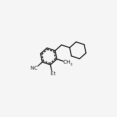 CCc1c(C#N)ccc(CC2CCCCC2)c1C